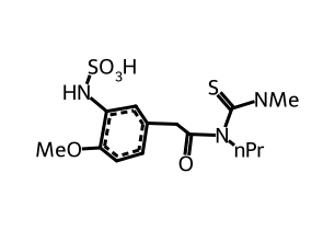 CCCN(C(=O)Cc1ccc(OC)c(NS(=O)(=O)O)c1)C(=S)NC